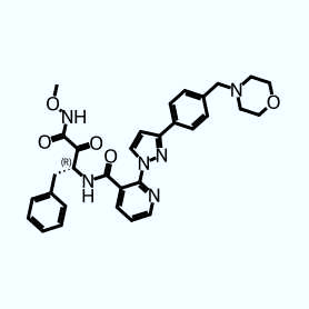 CONC(=O)C(=O)[C@@H](Cc1ccccc1)NC(=O)c1cccnc1-n1ccc(-c2ccc(CN3CCOCC3)cc2)n1